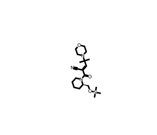 CC(C)(C=C(C#N)C(=O)N1CCCC[C@@H]1CO[Si](C)(C)C)N1CCOCC1